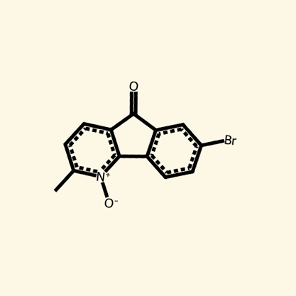 Cc1ccc2c([n+]1[O-])-c1ccc(Br)cc1C2=O